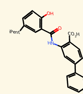 CCCC(C)c1ccc(O)c(C(=O)Nc2cc(-c3ccccc3)ccc2C(=O)O)c1